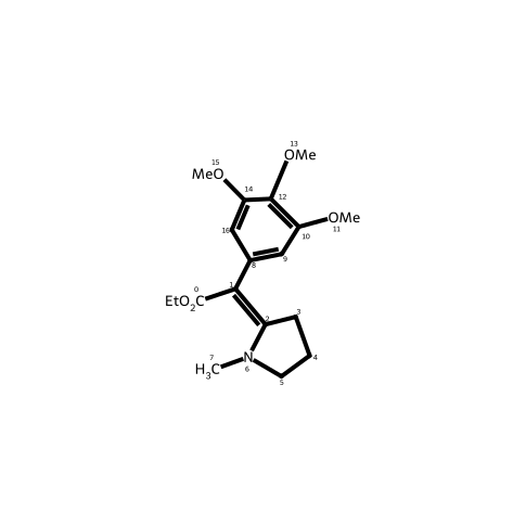 CCOC(=O)C(=C1CCCN1C)c1cc(OC)c(OC)c(OC)c1